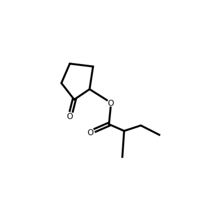 CCC(C)C(=O)OC1CCCC1=O